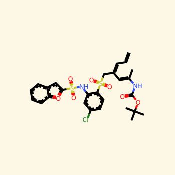 C=C/C=C(\C=C(/C)NC(=O)OC(C)(C)C)CS(=O)(=O)c1ccc(Cl)cc1NS(=O)(=O)c1cc2ccccc2o1